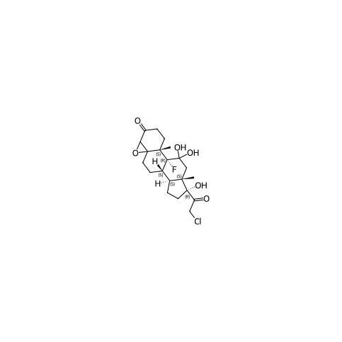 C[C@]12CC(O)(O)[C@@]3(F)[C@@H](CCC45OC4C(=O)CC[C@@]53C)[C@@H]1CC[C@]2(O)C(=O)CCl